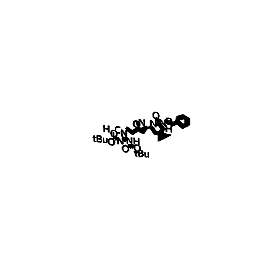 CN(CCc1cc([C@@H]2CC3(CC3)[C@H]3CN2C(=O)N3OCc2ccccc2)no1)/C(=N\C(=O)OC(C)(C)C)NC(=O)OC(C)(C)C